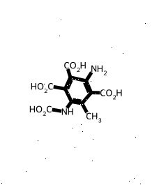 Cc1c(NC(=O)O)c(C(=O)O)c(C(=O)O)c(N)c1C(=O)O